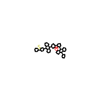 c1ccc(-c2c3ccccc3c(-c3cccc4c3oc3cc(-c5c6ccccc6c(-c6ccc7c(c6)sc6ccccc67)c6ccccc56)ccc34)c3ccccc23)cc1